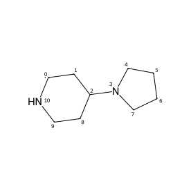 [CH]1CC(N2CCCC2)CCN1